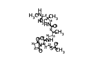 CNC(=O)CC(C)(C)CNC(=O)CC(C)CCNC(=O)C(CCSC(C)=O)N1C(=O)CCC1=O